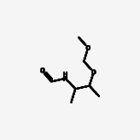 COCOC(C)C(C)NC=O